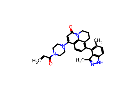 C=CC(=O)N1CCN(c2cc(=O)n3c4c(c(-c5c(C)ccc6[nH]nc(C)c56)ccc24)CCC3)CC1